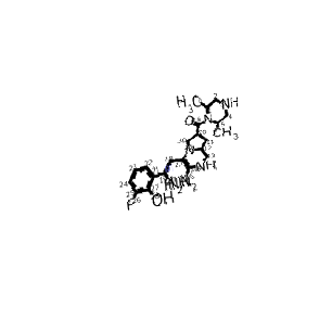 CC1CNCC(C)N1C(=O)C1CC2CNC(N)=C(/C=C(\N)c3cccc(F)c3O)N2C1